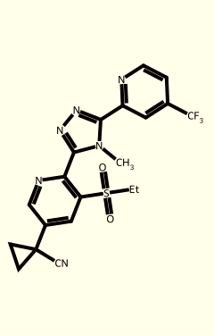 CCS(=O)(=O)c1cc(C2(C#N)CC2)cnc1-c1nnc(-c2cc(C(F)(F)F)ccn2)n1C